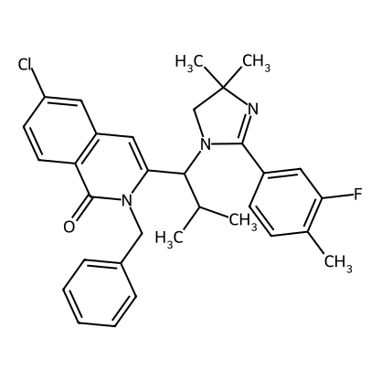 Cc1ccc(C2=NC(C)(C)CN2C(c2cc3cc(Cl)ccc3c(=O)n2Cc2ccccc2)C(C)C)cc1F